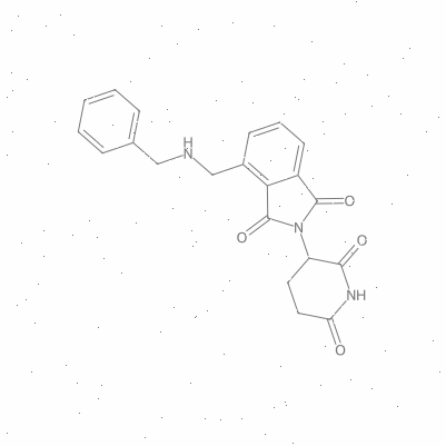 O=C1CCC(N2C(=O)c3cccc(CNCc4ccccc4)c3C2=O)C(=O)N1